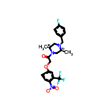 C[C@@H]1CN(Cc2ccc(F)cc2)[C@@H](C)CN1C(=O)COc1ccc([N+](=O)[O-])c(C(F)(F)F)c1